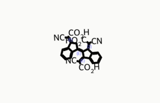 N#C/C(C(=O)O)=C1C(=C2\C/C(=C(/C#N)C(=O)O)c3ccccc32)/C(=C(\C#N)C(=O)O)c2ccccc2/1